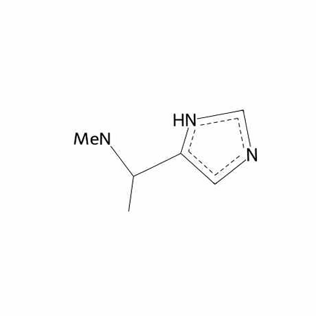 CNC(C)c1cnc[nH]1